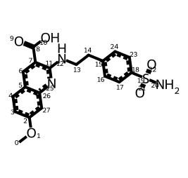 COc1ccc2cc(C(=O)O)c(NCCc3ccc(S(N)(=O)=O)cc3)nc2c1